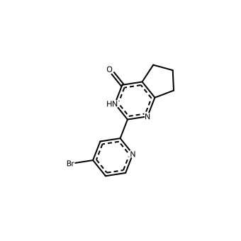 O=c1[nH]c(-c2cc(Br)ccn2)nc2c1CCC2